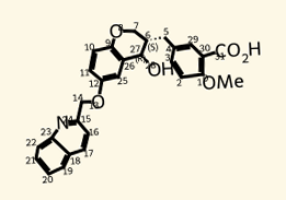 COc1ccc(C[C@H]2COc3ccc(OCc4ccc5ccccc5n4)cc3[C@@H]2O)cc1C(=O)O